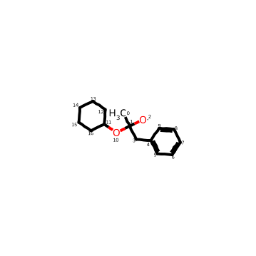 CC([O])(Cc1ccccc1)OC1CCCCC1